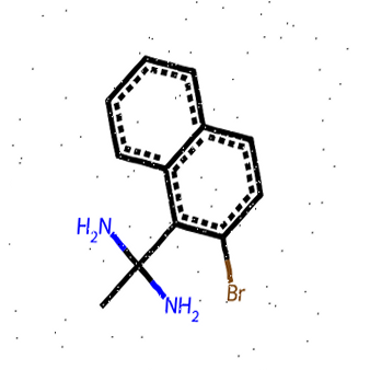 CC(N)(N)c1c(Br)ccc2ccccc12